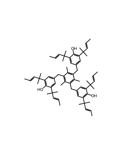 CC=CC(C)(C)c1cc(Cc2c(C)c(Cc3cc(C(C)(C)C=CC)c(O)c(C(C)(C)C=CC)c3)c(C)c(Cc3cc(C(C)(C)C=CC)c(O)c(C(C)(C)C=CC)c3)c2C)cc(C(C)(C)C=CC)c1O